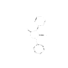 O=C1ON(c2ccccc2)C(=O)C1=C1C=CCC=C1